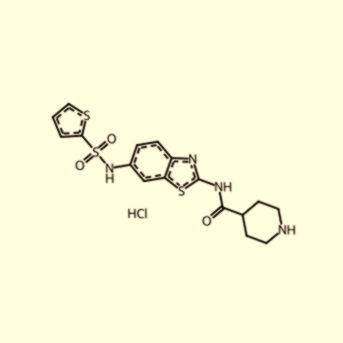 Cl.O=C(Nc1nc2ccc(NS(=O)(=O)c3cccs3)cc2s1)C1CCNCC1